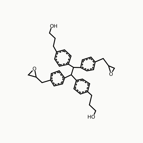 OCCCc1ccc(C(c2ccc(CC3CO3)cc2)C(c2ccc(CCCO)cc2)c2ccc(CC3CO3)cc2)cc1